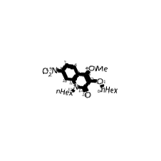 CCCCCCOc1c(OC)c2ccc([N+](=O)[O-])cc2n(CCCCCC)c1=O